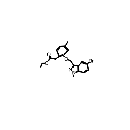 CCOC(=O)Cc1ccc(C)cc1OCc1nn(C)c2ccc(Br)cc12